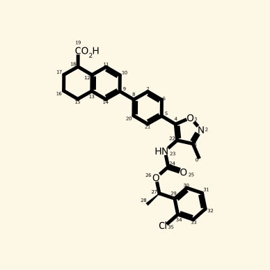 Cc1noc(-c2ccc(-c3ccc4c(c3)CCCC4C(=O)O)cc2)c1NC(=O)O[C@H](C)c1ccccc1Cl